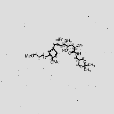 COCCCOc1cc(C[C@@H](C[C@H](N)[C@@H](O)C[C@H](C(=O)NCC2COC(C)(C)OC2)C(C)C)C(C)C)ccc1OC